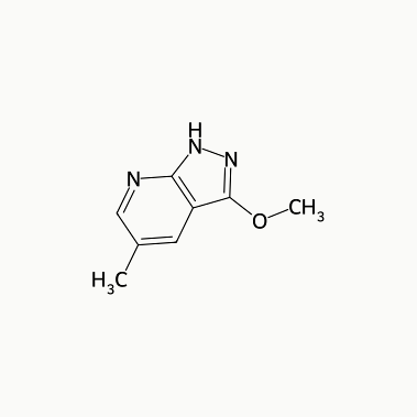 COc1n[nH]c2ncc(C)cc12